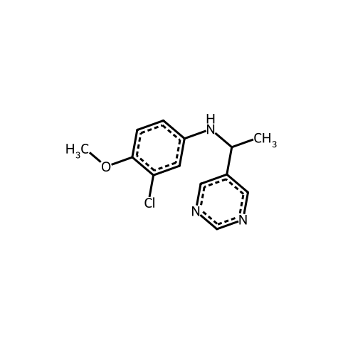 COc1ccc(NC(C)c2cncnc2)cc1Cl